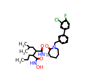 CCCC(C(=O)NO)C(CC(C)C)C(=O)N[C@H]1CCCCN(Cc2cccc(-c3ccc(F)c(Cl)c3)c2)C1=O